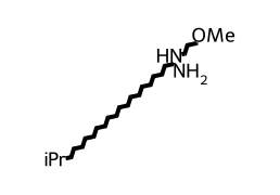 COCCCNC(N)CCCCCCCCCCCCCCCCCCC(C)C